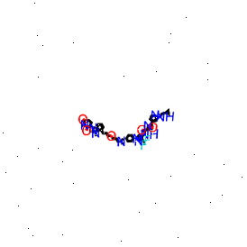 CN(CCCOCCCc1cccc2c1N(C)CN2C1CCC(=O)N(C)C1=O)C[C@H]1CC[C@H](n2cc(NC(=O)c3coc(-c4ccnc(NCC5CC5)c4)n3)c(C(F)F)n2)CC1